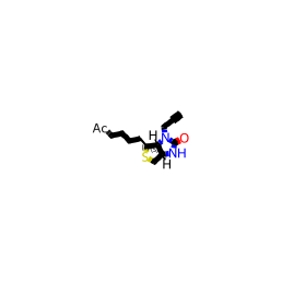 C#CCN1C(=O)N[C@H]2CS[C@@H](CCCCC(C)=O)[C@H]21